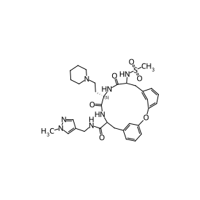 Cn1cc(CNC(=O)C2Cc3cccc(c3)Oc3cccc(c3)CC(NS(C)(=O)=O)C(=O)N[C@@H](CCN3CCCCC3)C(=O)N2)cn1